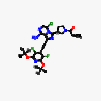 [2H]C([2H])([2H])Oc1nc(OC([2H])([2H])[2H])c(F)c(C#Cc2nc([C@H]3CCN(C(=O)C=C)C3)n3c(Cl)cnc(N)c23)c1F